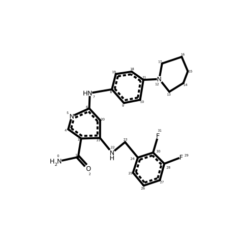 NC(=O)c1cnc(Nc2ccc(N3CCCCC3)cc2)cc1NCc1cccc(F)c1F